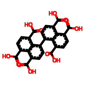 O=C(O)c1ccc(C(=O)O)c2c(-c3ccc(C(=O)O)c4c(C(=O)O)ccc(C(=O)O)c34)ccc(C(=O)O)c12